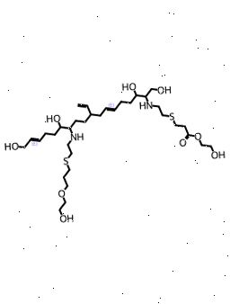 C=CC(C/C=C/CCC(O)C(CO)NCCSCCC(=O)OCCO)CCC(NCCSCCCOCCO)C(O)CC/C=C/CO